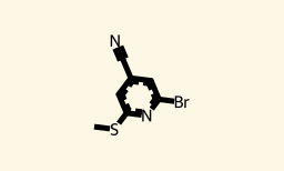 CSc1cc(C#N)cc(Br)n1